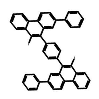 Ic1c(-c2ccc(-c3c(I)c4ccccc4c4ccc(-c5ccccc5)cc34)cc2)c2cc(-c3ccccc3)ccc2c2ccccc12